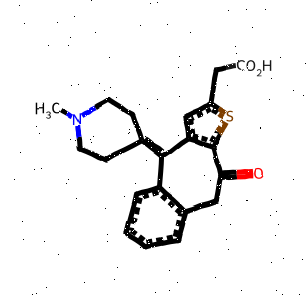 CN1CCC(=C2c3ccccc3CC(=O)c3sc(CC(=O)O)cc32)CC1